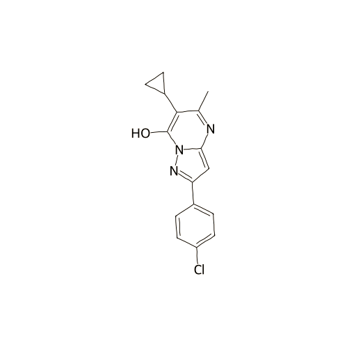 Cc1nc2cc(-c3ccc(Cl)cc3)nn2c(O)c1C1CC1